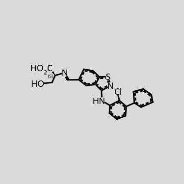 O=C(O)[C@H](CO)N=Cc1ccc2snc(Nc3cccc(-c4ccccc4)c3Cl)c2c1